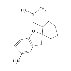 CN(C)CC1CCCCC12Cc1cc(N)ccc1O2